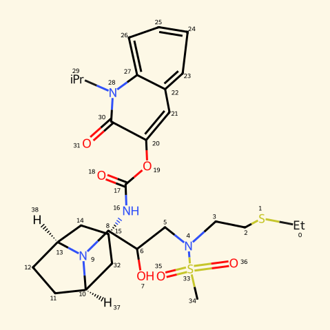 CCSCCN(CC(O)CN1[C@@H]2CC[C@H]1C[C@H](NC(=O)Oc1cc3ccccc3n(C(C)C)c1=O)C2)S(C)(=O)=O